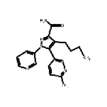 CCCCc1c(C(N)=O)nn(-c2cccnc2)c1-c1ccc(C)nn1